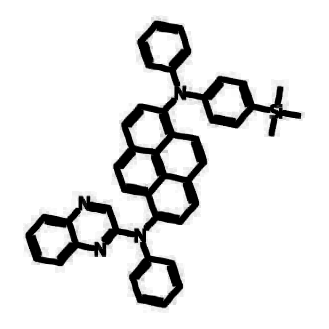 C[Si](C)(C)c1ccc(N(c2ccccc2)c2ccc3ccc4c(N(c5ccccc5)c5cnc6ccccc6n5)ccc5ccc2c3c54)cc1